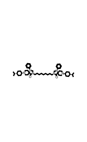 CC(C)[C@H]1CC[C@@H](N2CCC3(CC2)C(=O)N(CCCCCCCCCN2CN(c4ccccc4)C4(CCN([C@H]5CC[C@@H](C(C)C)CC5)CC4)C2=O)CN3c2ccccc2)CC1